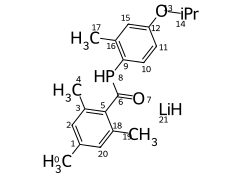 Cc1cc(C)c(C(=O)Pc2ccc(OC(C)C)cc2C)c(C)c1.[LiH]